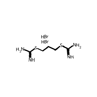 Br.Br.N=C(N)SCCCSC(=N)N